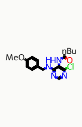 CCCCC(=O)Nc1c(Cl)ncnc1NCc1ccc(OC)cc1